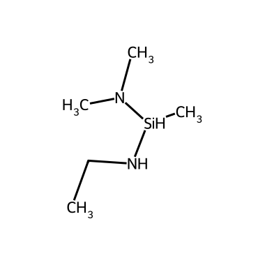 CCN[SiH](C)N(C)C